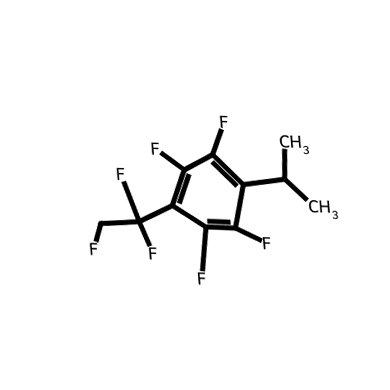 CC(C)c1c(F)c(F)c(C(F)(F)CF)c(F)c1F